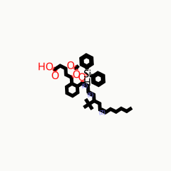 CCCCC/C=C\CC(/C=C/C=C(/O[SiH](c1ccccc1)c1ccccc1)C1CCCCC1C(CCCC(=O)O)OC(C)=O)C(C)(C)C